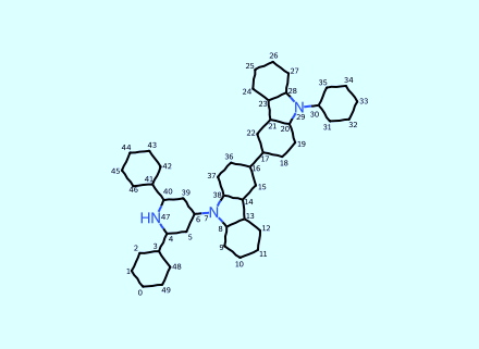 C1CCC(C2CC(N3C4CCCCC4C4CC(C5CCC6C(C5)C5CCCCC5N6C5CCCCC5)CCC43)CC(C3CCCCC3)N2)CC1